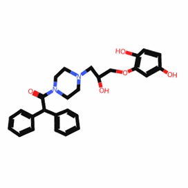 O=C(C(c1ccccc1)c1ccccc1)N1CCN(CC(O)COc2cc(O)ccc2O)CC1